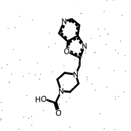 O=C(O)N1CCN(Cc2nc3ccncc3o2)CC1